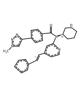 Cn1cc(-c2ccc(C(=O)N(c3cc(/C=C/c4ccccc4)ccn3)[C@@H]3CCCNC3)cc2)nn1